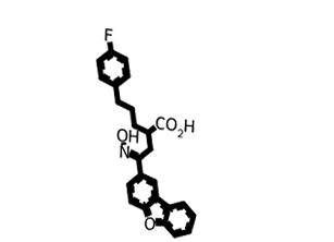 O=C(O)C(CCCc1ccc(F)cc1)CC(=NO)c1ccc2oc3ccccc3c2c1